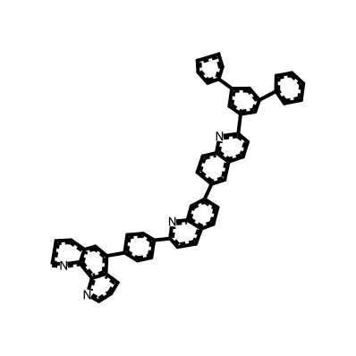 c1ccc(-c2cc(-c3ccccc3)cc(-c3ccc4cc(-c5ccc6ccc(-c7ccc(-c8cc9cccnc9c9ncccc89)cc7)nc6c5)ccc4n3)c2)cc1